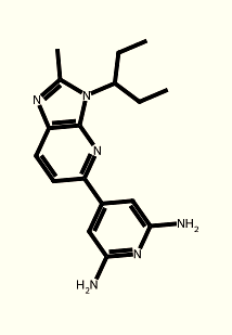 CCC(CC)n1c(C)nc2ccc(-c3cc(N)nc(N)c3)nc21